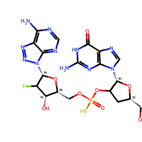 Nc1nc2c(ncn2[C@@H]2O[C@H](CO)CC2OP(=O)(S)OC[C@H]2O[C@@H](n3nnc4c(N)ncnc43)C(F)[C@H]2O)c(=O)[nH]1